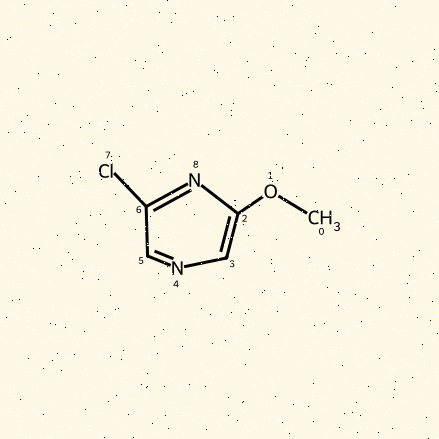 COc1cncc(Cl)n1